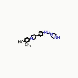 N#Cc1ccc(N2CCC(c3ccc(NCCN4CCNCC4)cc3)CC2)cc1C(F)(F)F